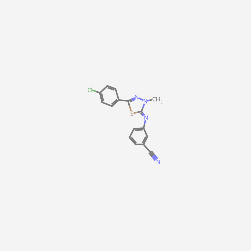 Cn1nc(-c2ccc(Cl)cc2)sc1=Nc1cccc(C#N)c1